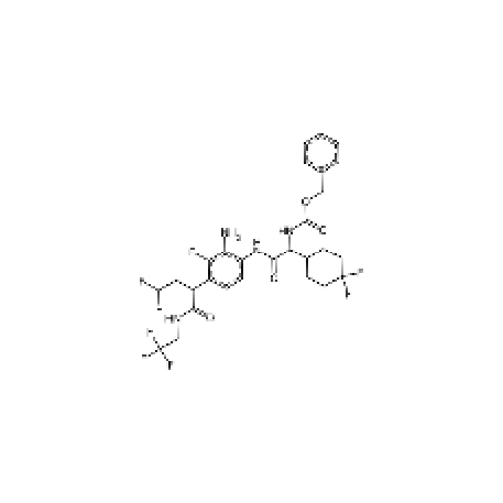 Nc1c(NC(=O)C(NC(=O)OCc2ccccc2)C2CCC(F)(F)CC2)ccc(C(CC(F)F)C(=O)NCC(F)(F)F)c1F